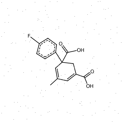 CC1=CC(C(=O)O)(c2ccc(F)cc2)CC(C(=O)O)=C1